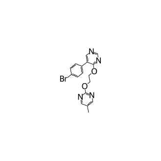 Cc1cnc(OCCOc2ncncc2-c2ccc(Br)cc2)nc1